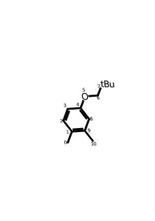 Cc1ccc(OCC(C)(C)C)cc1C